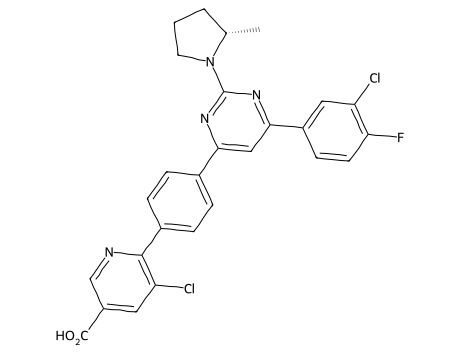 C[C@H]1CCCN1c1nc(-c2ccc(-c3ncc(C(=O)O)cc3Cl)cc2)cc(-c2ccc(F)c(Cl)c2)n1